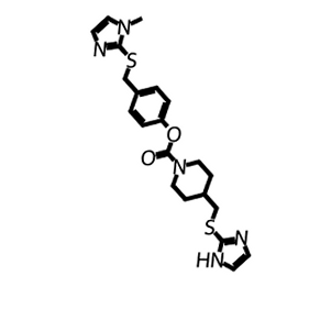 Cn1ccnc1SCc1ccc(OC(=O)N2CCC(CSc3ncc[nH]3)CC2)cc1